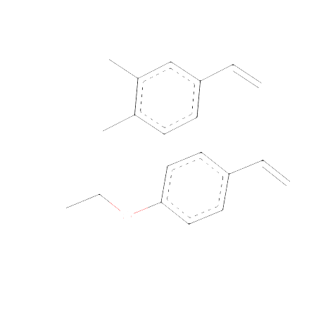 C=Cc1ccc(C)c(C)c1.C=Cc1ccc(OCC)cc1